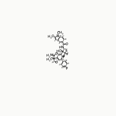 Cc1cc2cc(C(=O)NC[C@](O)(c3cc4c(c(-c5ccc(F)cc5)n3)OC[C@]4(C)C(N)=O)C(F)(F)F)ccc2n1C